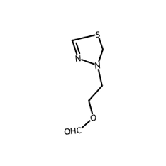 O=COCCN1CSC=N1